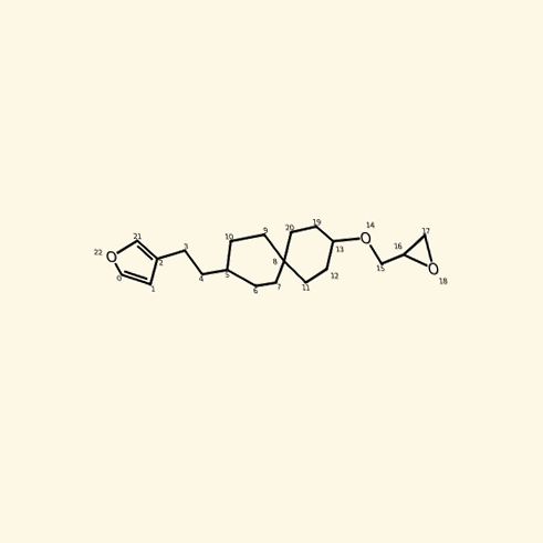 c1cc(CCC2CCC3(CC2)CCC(OCC2CO2)CC3)co1